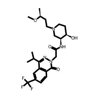 CO[C@@H](C)CCN1CC[C@@H](O)[C@@H](NC(=O)Cn2nc(C(C)C)c3cc(C(F)(F)F)ccc3c2=O)C1